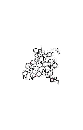 Cc1ccc2c(c1)c1ccccc1n2-c1c(C#N)c(-n2c3ccccc3c3cc(C)ccc32)c(-n2c3ccccc3c3cc(C)ccc32)c(-c2ccc3c(c2)-c2ccccc2[Si]32c3cccnc3-c3ncccc32)c1-n1c2ccccc2c2cc(C)ccc21